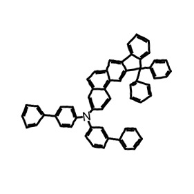 c1ccc(-c2ccc(N(c3cccc(-c4ccccc4)c3)c3ccc4c(ccc5cc6c(cc54)C(c4ccccc4)(c4ccccc4)c4ccccc4-6)c3)cc2)cc1